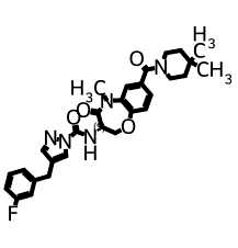 CN1C(=O)[C@@H](NC(=O)n2cc(Cc3cccc(F)c3)cn2)COc2ccc(C(=O)N3CCC(C)(C)CC3)cc21